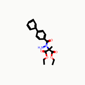 CCOC(=O)C(C)(C(=O)OCC)N(N)C(=O)c1ccc(-c2ccccc2)cc1